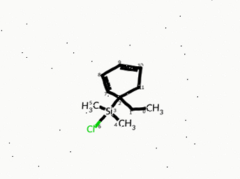 CCC1([Si](C)(C)Cl)C=CC=CC1